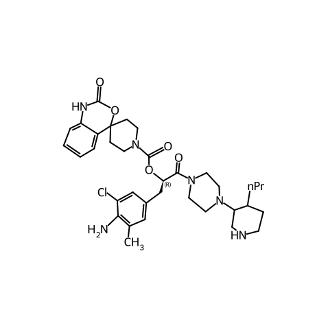 CCCC1CCNCC1N1CCN(C(=O)[C@@H](Cc2cc(C)c(N)c(Cl)c2)OC(=O)N2CCC3(CC2)OC(=O)Nc2ccccc23)CC1